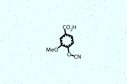 COc1cc(C(=O)O)ccc1OC#N